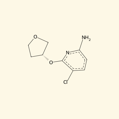 Nc1ccc(Cl)c(O[C@@H]2CCOC2)n1